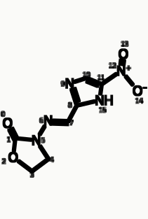 O=C1OCCN1N=Cc1ncc([N+](=O)[O-])[nH]1